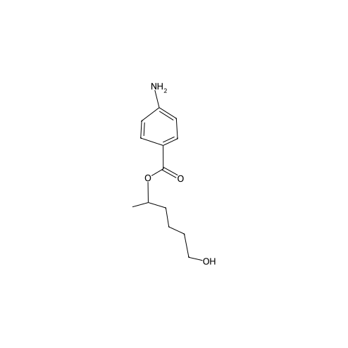 CC(CCCCO)OC(=O)c1ccc(N)cc1